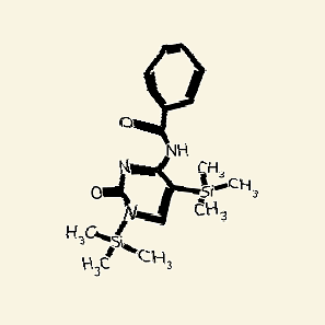 C[Si](C)(C)c1cn([Si](C)(C)C)c(=O)nc1NC(=O)c1ccccc1